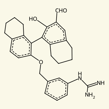 N=C(N)Nc1cccc(COc2ccc3c(c2-c2c(O)c(C=O)cc4c2CCCC4)CCCC3)c1